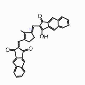 CC1=C(C=C2C(=O)c3cc4ccccc4cc3C2=O)CC/C1=C\C1=C(O)c2cc3ccccc3cc2C1=O